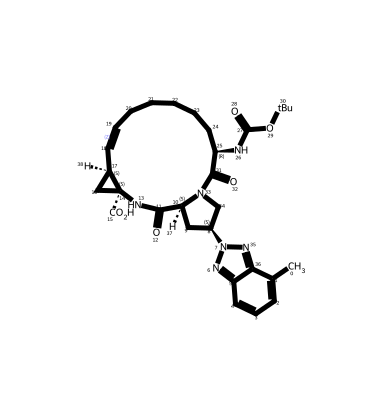 Cc1cccc2nn([C@H]3C[C@H]4C(=O)N[C@@]5(C(=O)O)C[C@H]5/C=C\CCCCC[C@@H](NC(=O)OC(C)(C)C)C(=O)N4C3)nc12